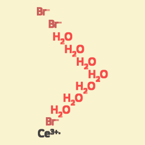 O.O.O.O.O.O.O.[Br-].[Br-].[Br-].[Ce+3]